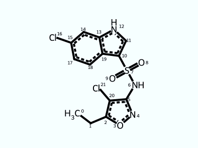 CCc1onc(NS(=O)(=O)c2c[nH]c3cc(Cl)ccc23)c1Cl